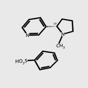 CN1CCC[C@H]1c1cccnc1.O=S(=O)(O)c1ccccc1